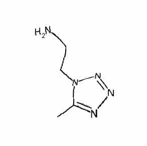 Cc1nnnn1CCN